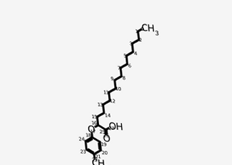 CCCCCCCCCCCCCCCCC(Oc1ccc(C)cc1)C(=O)O